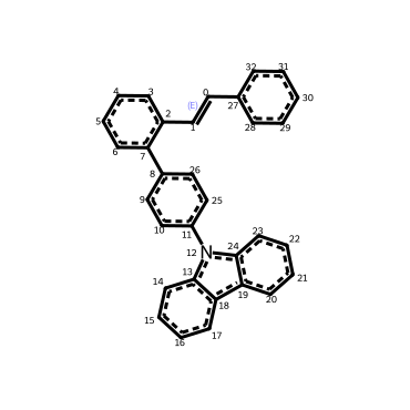 C(=C\c1ccccc1-c1ccc(-n2c3ccccc3c3ccccc32)cc1)/c1ccccc1